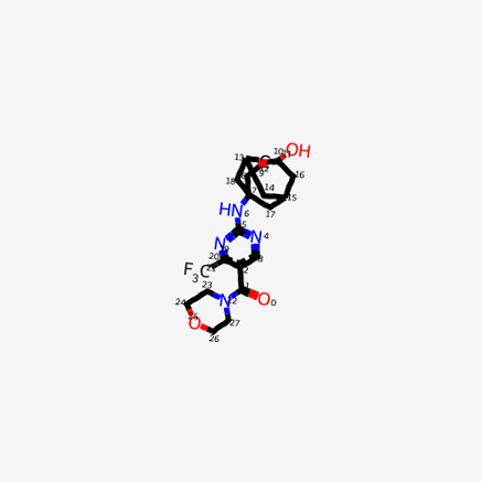 O=C(c1cnc(NC23CCC4(O)CC(CC(C4)C2)C3)nc1C(F)(F)F)N1CCOCC1